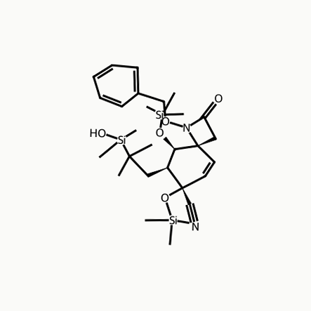 CC(C)(C[C@H]1[C@@H](O[Si](C)(C)C)[C@]2(C=C[C@]1(C#N)O[Si](C)(C)C)CC(=O)N2OCc1ccccc1)[Si](C)(C)O